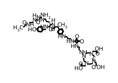 CCC(=O)NCCNC(=O)/N=C(/N)NCCC[C@@H](NC(=O)C(C)c1ccc(NCCCNc2c(NCCNCN3CCN(CC(=O)O)CCN(CC(=O)O)CCN(CC(=O)O)CC3)c(=O)c2=O)cc1)C(=O)NCc1ccc(O)cc1